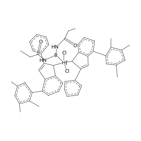 CCC(=O)N[B](NC(=O)CC)[Hf]([Cl])([Cl])([CH]1C(c2ccccc2)=Cc2c(-c3cc(C)cc(C)c3C)cccc21)[CH]1C(c2ccccc2)=Cc2c(-c3cc(C)cc(C)c3C)cccc21